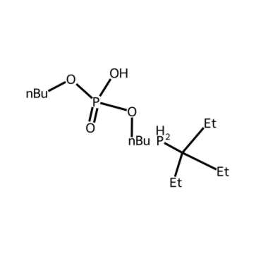 CCC(P)(CC)CC.CCCCOP(=O)(O)OCCCC